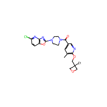 CCC1(COc2ncc(C(=O)N3CCN(c4nc5nc(Cl)ccc5o4)CC3)cc2C)COC1